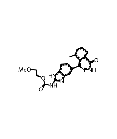 COCCOC(=O)Nc1nc2cc(-c3n[nH]c(=O)c4cccc(C)c34)ccc2[nH]1